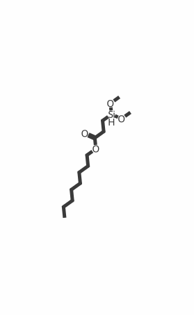 CCCCCCCCOC(=O)CC[SiH](OC)OC